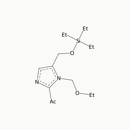 CCOCn1c(CO[Si](CC)(CC)CC)cnc1C(C)=O